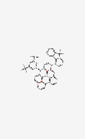 CC(C)(C)c1cc(N(c2ccc(-c3cccc4c3-c3ccccc3C4(C)C)cc2)c2ccccc2-c2cccc3cccc(-c4ccccc4)c23)cc(C(C)(C)C)c1